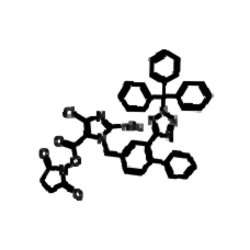 CCCCc1nc(Cl)c(C(=O)ON2C(=O)CCC2=O)n1Cc1ccc(-c2ccccc2)c(-c2nnn(C(c3ccccc3)(c3ccccc3)c3ccccc3)n2)c1